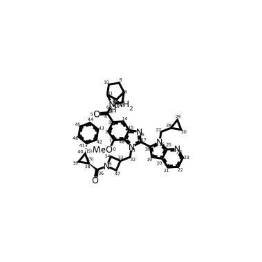 COc1cc(C(=O)N2CC3CCC2[C@@H]3N)cc2nc(-c3cc4cccnc4n3CC3CC3)n(CC3CN(C(=O)[C@H]4C[C@@H]4c4ccccc4)C3)c12